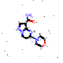 NC(=O)c1cnn2ccc(N3C=COC=C3)nc12